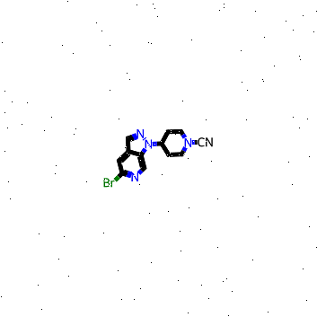 N#CN1CCC(n2ncc3cc(Br)ncc32)CC1